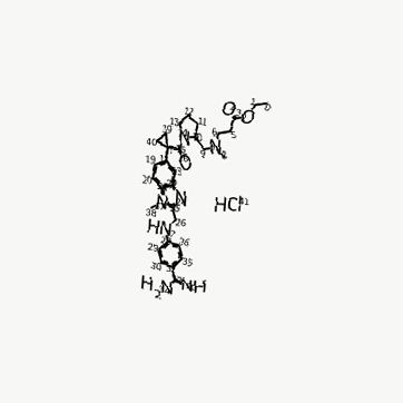 CCOC(=O)CCN(C)CC1CCCN1C(=O)C1(c2ccc3c(c2)nc(CNc2ccc(C(=N)N)cc2)n3C)CC1.Cl